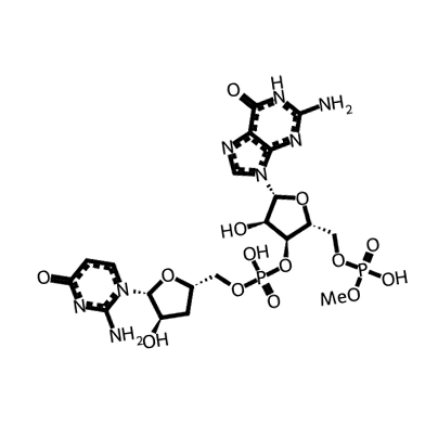 COP(=O)(O)OC[C@H]1O[C@@H](n2cnc3c(=O)[nH]c(N)nc32)[C@H](O)[C@@H]1OP(=O)(O)OC[C@@H]1C[C@@H](O)[C@H](n2ccc(=O)nc2N)O1